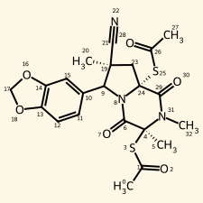 CC(=O)S[C@@]1(C)C(=O)N2C(c3ccc4c(c3)OCO4)[C@@](C)(C#N)C[C@@]2(SC(C)=O)C(=O)N1C